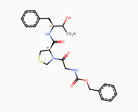 O=C(NCC(=O)N1CSC[C@H]1C(=O)N[C@@H](Cc1ccccc1)C(O)C(=O)O)OCc1ccccc1